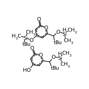 C[SiH](C)OC(c1cc(O)cc(=O)o1)C(C)(C)C.C[SiH](C)OC(c1cc(O[Si](C)(C)C(C)(C)C)cc(=O)o1)C(C)(C)C